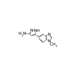 Cn1cnc2cc(-c3cc(N)n[nH]3)ccc21